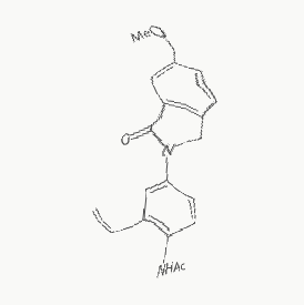 C=Cc1cc(N2Cc3ccc(OC)cc3C2=O)ccc1NC(C)=O